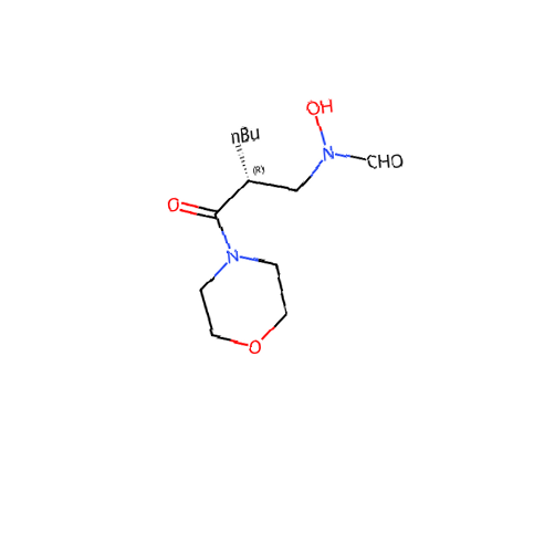 CCCC[C@H](CN(O)C=O)C(=O)N1CCOCC1